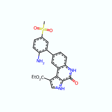 CCOC(=O)c1c[nH]c2c(=O)[nH]c3ccc(-c4cc(S(C)(=O)=O)ccc4N)cc3c12